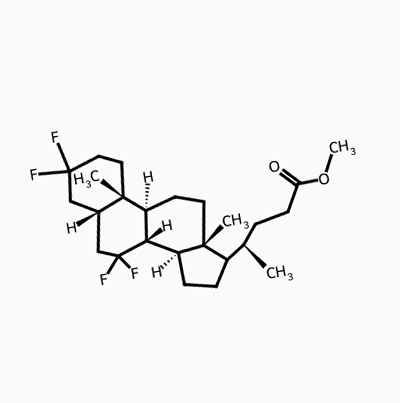 COC(=O)CC[C@@H](C)C1CC[C@H]2[C@H]3[C@H](CC[C@]12C)[C@@]1(C)CCC(F)(F)C[C@H]1CC3(F)F